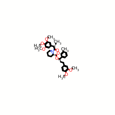 CC[C@H](C(=O)N1CCCC[C@H]1C(=O)O[C@H](CCc1ccc(OC)c(OC)c1)c1cccc(C)c1)c1cc(OC)c(OC)c(OC)c1